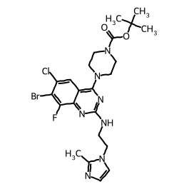 Cc1nccn1CCNc1nc(N2CCN(C(=O)OC(C)(C)C)CC2)c2cc(Cl)c(Br)c(F)c2n1